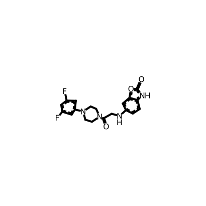 O=C(CNc1ccc2[nH]c(=O)oc2c1)N1CCN(c2cc(F)cc(F)c2)CC1